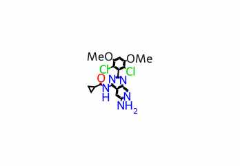 COc1cc(OC)c(Cl)c(-c2nc(NC(=O)C3CC3)c3cc(N)ncc3n2)c1Cl